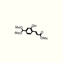 COC(=O)C=Cc1ccc(C(OC)OC)cc1O